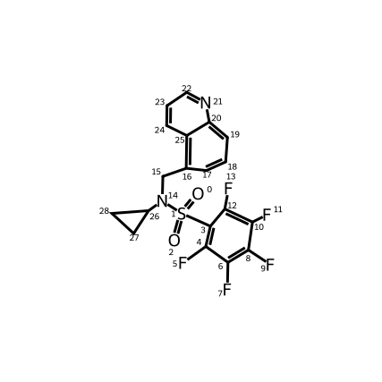 O=S(=O)(c1c(F)c(F)c(F)c(F)c1F)N(Cc1cccc2ncccc12)C1CC1